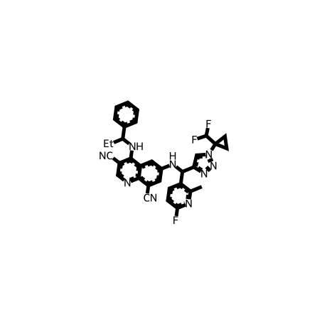 CCC(Nc1c(C#N)cnc2c(C#N)cc(NC(c3cn(C4(C(F)F)CC4)nn3)c3ccc(F)nc3C)cc12)c1ccccc1